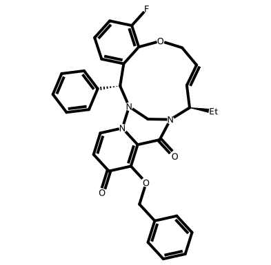 CC[C@@H]1/C=C/COc2c(F)cccc2[C@@H](c2ccccc2)N2CN1C(=O)c1c(OCc3ccccc3)c(=O)ccn12